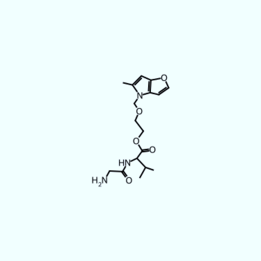 Cc1cc2occc2n1COCCOC(=O)C(NC(=O)CN)C(C)C